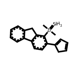 [CH3][Zr]([CH3])(=[SiH2])[c]1c(C2=CC=CC2)ccc2c1Cc1ccccc1-2